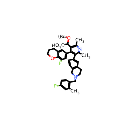 Cc1cc(F)ccc1CN1CCc2cc(-c3c(C)nc(C)c(C(OC(C)(C)C)C(=O)O)c3-c3cc(F)c4c(c3)CCCO4)ccc2C1